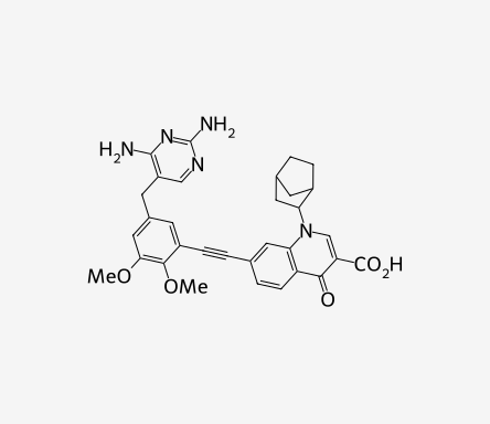 COc1cc(Cc2cnc(N)nc2N)cc(C#Cc2ccc3c(=O)c(C(=O)O)cn(C4CC5CCC4C5)c3c2)c1OC